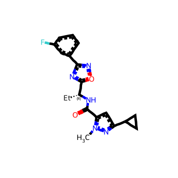 CC[C@@H](NC(=O)c1cc(C2CC2)nn1C)c1nc(-c2cccc(F)c2)no1